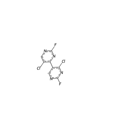 Fc1n[c]c(-c2nc(F)ncc2Cl)c(Cl)n1